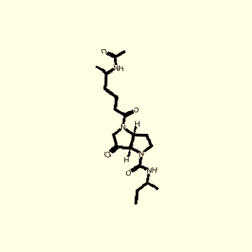 CCC(C)NC(=O)N1CC[C@@H]2[C@H]1C(=O)CN2C(=O)CCCC(C)NC(C)=O